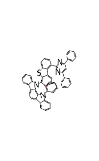 c1ccc(-c2cc(-c3ccccc3)nc(-c3cccc4sc5c(-n6c7ccccc7c7ccc8c9ccccc9n(-c9ccccc9)c8c76)cccc5c34)n2)cc1